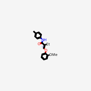 CC/C(=C\Oc1ccccc1OC)C(=O)Nc1ccc(C)cc1